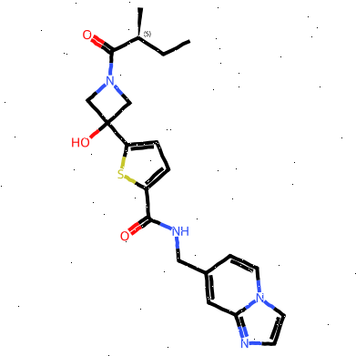 CC[C@H](C)C(=O)N1CC(O)(c2ccc(C(=O)NCc3ccn4ccnc4c3)s2)C1